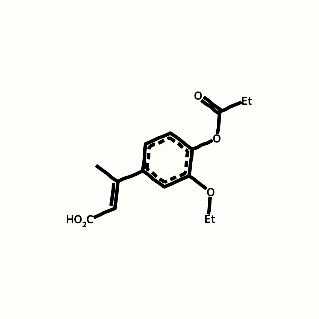 CCOc1cc(C(C)=CC(=O)O)ccc1OC(=O)CC